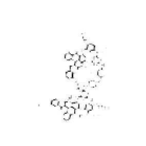 Cn1c(=O)c(C(=O)c2cccc(SOOO)c2)c2c3c(c(Nc4cc(Nc5nc(N)nc(NC6CCC(CC7CCC(Nc8nc(N)nc(Nc9cc(Nc%10ccc%11c%12c%10C(=O)c%10ccccc%10-c%12c(C(=O)c%10cccc(S(=O)(=O)O)c%10)c(=O)n%11C)c(S(=O)(=O)O)cc9SOOO)n8)CC7)CC6)n5)c(S(=O)(=O)O)cc4SOOO)ccc31)C(=O)c1ccccc1-2